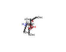 CCCCCCCCCC(N)CC.CCCCCCCCCCCCCCCC(=O)OC(CO)COC(=O)CCCCC(CCCCCCCCCC)C(=O)CCCCCCCCCCCCCCC.CCCCCCCCCCCCCCCCCC(=O)O